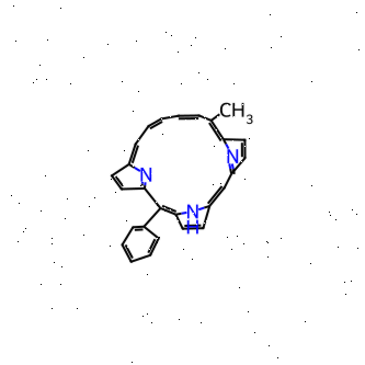 Cc1cccccc2nc(c(-c3ccccc3)c3ccc(cc4nc1C=C4)[nH]3)C=C2